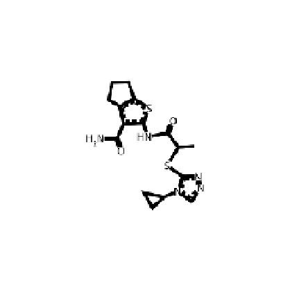 CC(Sc1nncn1C1CC1)C(=O)Nc1sc2c(c1C(N)=O)CCC2